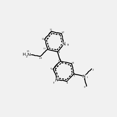 CN(C)c1cncc(-c2ncccc2CN)c1